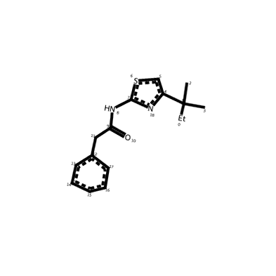 CCC(C)(C)c1csc(NC(=O)Cc2ccccc2)n1